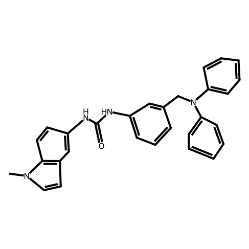 Cn1ccc2cc(NC(=O)Nc3cccc(CN(c4ccccc4)c4ccccc4)c3)ccc21